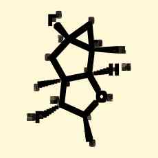 C[C@@H]1O[C@H]2[C@](C)(C[C@]3(F)C[C@]23C)[C@H]1F